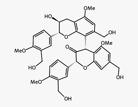 COc1ccc([C@H]2Oc3c(c(OC)cc(CO)c3[C@H]3C(=O)[C@@H](c4ccc(OC)c(CO)c4)Oc4cc(CO)cc(OC)c43)C[C@@H]2O)cc1CO